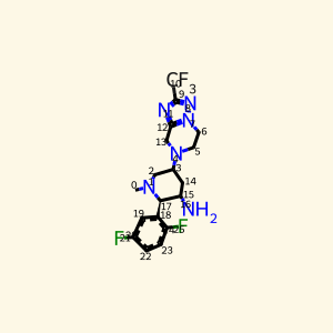 CN1CC(N2CCn3nc(C(F)(F)F)nc3C2)CC(N)[C@H]1c1cc(F)ccc1F